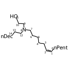 CCCCC/C=C\CCCCCN(CCO)CCCCCCCCCCCC